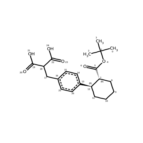 CC(C)(C)OC(=O)[C@@H]1CCCC[C@H]1c1ccc(CC(C(=O)O)C(=O)O)cc1